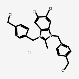 Cc1n(Cc2ccc(CCl)cc2)c2cc(Cl)c(Cl)cc2[n+]1Cc1ccc(CCl)cc1.[Cl-]